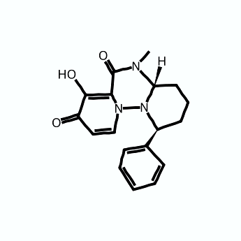 CN1C(=O)c2c(O)c(=O)ccn2N2[C@H](c3ccccc3)CCC[C@@H]12